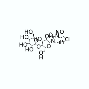 CC(C)CN(C(=O)N(CCCl)N=O)[C@@H]1O[C@H](CO)[C@@H](O[C@H]2O[C@H](CO)[C@@H](O)[C@H](O)[C@H]2O)[C@H](O)[C@H]1O